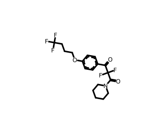 O=C(c1ccc(OCCCC(F)(F)F)cc1)C(F)(F)C(=O)N1CCCCC1